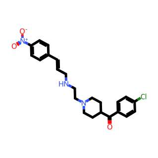 O=C(c1ccc(Cl)cc1)C1CCN(CCNC/C=C/c2ccc([N+](=O)[O-])cc2)CC1